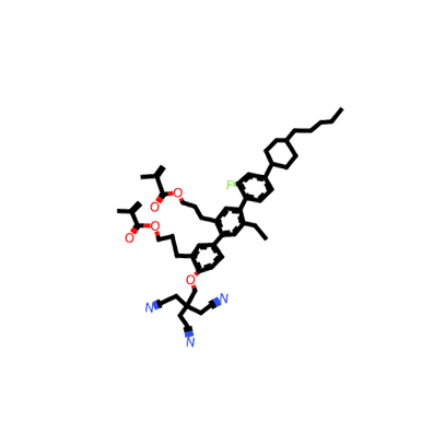 C=C(C)C(=O)OCCCc1cc(-c2cc(CC)c(-c3ccc(C4CCC(CCCCC)CC4)cc3F)cc2CCCOC(=O)C(=C)C)ccc1OCC(CC#N)(CC#N)CC#N